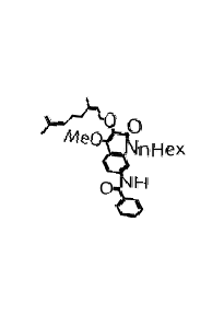 CCCCCCn1c(=O)c(OCC=C(C)CCC=C(C)C)c(OC)c2ccc(NC(=O)c3ccccc3)cc21